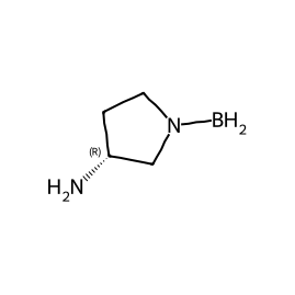 BN1CC[C@@H](N)C1